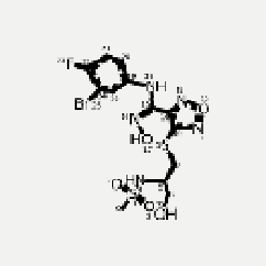 CS(=O)(=O)NC(CO)CSc1nonc1C(=NO)Nc1ccc(F)c(Br)c1